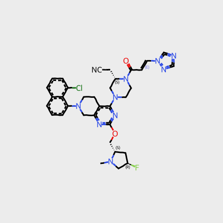 CN1C[C@H](F)C[C@H]1COc1nc2c(c(N3CCN(C(=O)/C=C/n4cncn4)[C@@H](CC#N)C3)n1)CCN(c1cccc3cccc(Cl)c13)C2